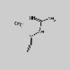 N=C(N)NN=C=S.[Cl-].[Cs+]